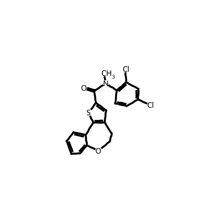 CN(C(=O)c1cc2c(s1)-c1ccccc1OCC2)c1ccc(Cl)cc1Cl